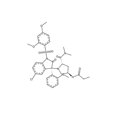 CCC(=O)O[C@@H]1C[C@@H](C(=O)N(C)C)N([C@]2(c3ccccc3OC)C(=O)N(S(=O)(=O)c3ccc(OC)cc3OC)c3ccc(Cl)cc32)C1